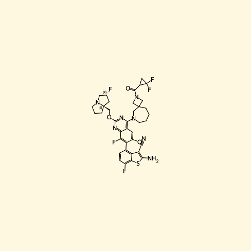 N#Cc1c(N)sc2c(F)ccc(-c3c(Cl)cc4c(N5CCCCC6(CN(C(=O)C7CC7(F)F)C6)C5)nc(OC[C@@]56CCCN5C[C@H](F)C6)nc4c3F)c12